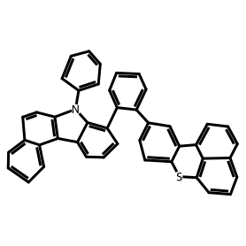 c1ccc(-n2c3ccc4ccccc4c3c3cccc(-c4ccccc4-c4ccc5c(c4)-c4cccc6cccc(c46)S5)c32)cc1